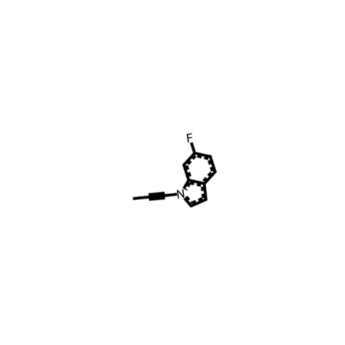 CC#Cn1ccc2ccc(F)cc21